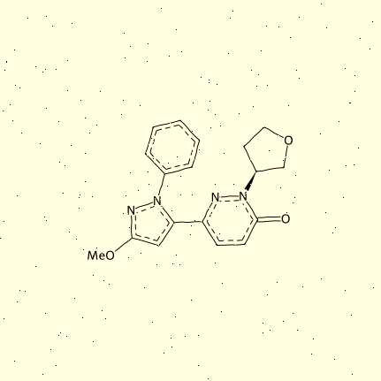 COc1cc(-c2ccc(=O)n([C@H]3CCOC3)n2)n(-c2ccccc2)n1